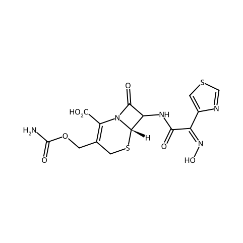 NC(=O)OCC1=C(C(=O)O)N2C(=O)C(NC(=O)/C(=N\O)c3cscn3)[C@@H]2SC1